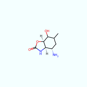 CC1C[C@H](N)[C@H]2NC(=O)O[C@H]2C1O